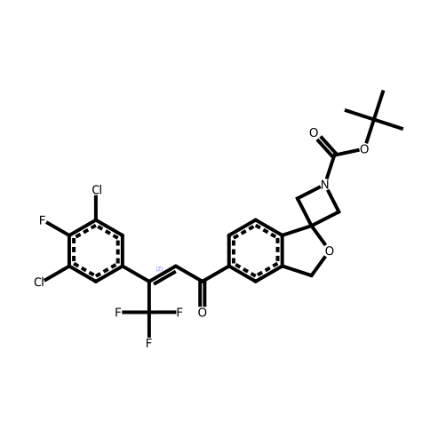 CC(C)(C)OC(=O)N1CC2(C1)OCc1cc(C(=O)/C=C(/c3cc(Cl)c(F)c(Cl)c3)C(F)(F)F)ccc12